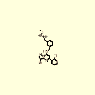 COBNCc1cccc(CNc2cc(-c3ccccc3Cl)nc3c(Br)cnn23)c1